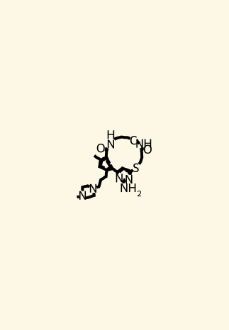 Cc1cc(CCCN2CCN(C)CC2)c2cc1C(=O)NCCCCNC(=O)CCSc1cc-2nc(N)n1